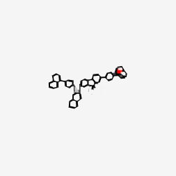 CC1(C)c2cc(-c3ccc(C45CC6CC(CC(C6)C4)C5)cc3)ccc2-c2ccc(N(c3ccc(-c4cccc5ccccc45)cc3)c3ccc4ccccc4c3)cc21